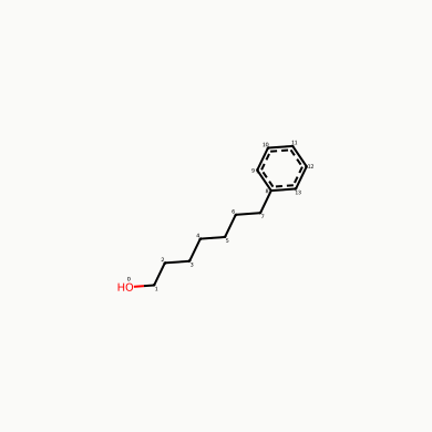 OCCCCCCCc1[c]cccc1